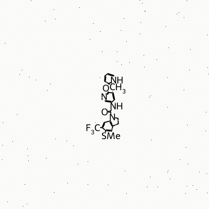 CSc1cc2c(cc1C(F)(F)F)N(C(=O)Nc1ccc(OC3(C)C=CC=CN3)nc1)CC2